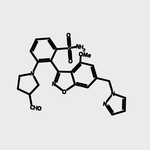 COc1cc(Cn2cccn2)cc2onc(-c3c(N4CCC(C=O)C4)cccc3S(N)(=O)=O)c12